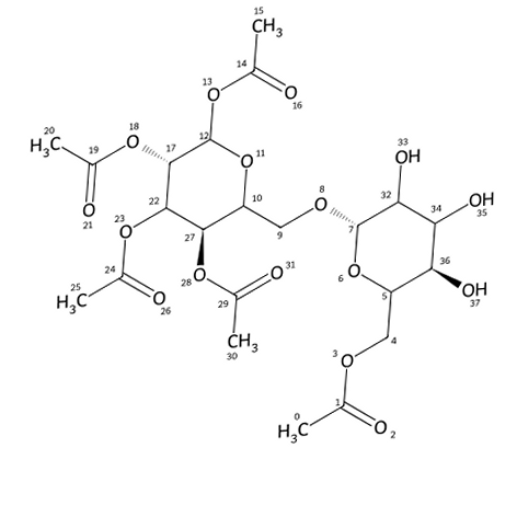 CC(=O)OCC1O[C@H](OCC2OC(OC(C)=O)[C@@H](OC(C)=O)C(OC(C)=O)[C@@H]2OC(C)=O)C(O)C(O)[C@H]1O